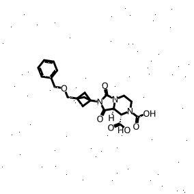 O=C(O)[C@@H]1[C@H]2C(=O)N(C34CC(COCc5ccccc5)(C3)C4)C(=O)N2CCN1C(=O)O